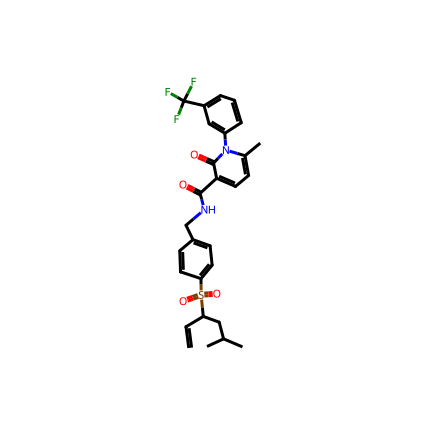 C=CC(CC(C)C)S(=O)(=O)c1ccc(CNC(=O)c2ccc(C)n(-c3cccc(C(F)(F)F)c3)c2=O)cc1